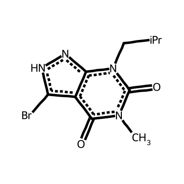 CC(C)Cn1c(=O)n(C)c(=O)c2c(Br)[nH]nc21